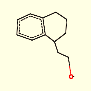 [O]CCC1CCCc2ccccc21